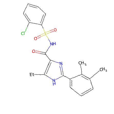 CCc1[nH]c(-c2cccc(C)c2C)nc1C(=O)NS(=O)(=O)c1ccccc1Cl